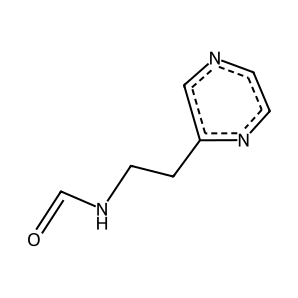 O=CNCCc1cnccn1